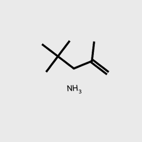 C=C(C)CC(C)(C)C.N